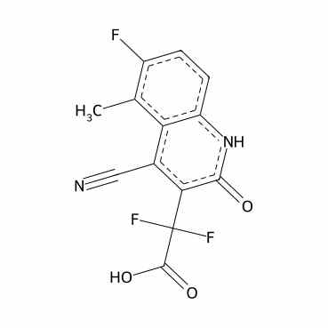 Cc1c(F)ccc2[nH]c(=O)c(C(F)(F)C(=O)O)c(C#N)c12